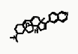 CN(C)[C@H]1CCC2=CC3=CC[C@]4(C)C(c5ccc6cnccc6c5)=CC[C@H]4C34CC[C@]2(C1)O4